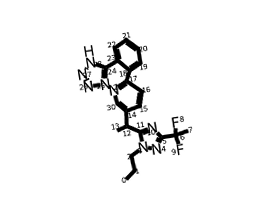 CCCn1nc(C(C)(F)F)nc1C(C)c1ccc(-c2ccccc2-c2nnn[nH]2)nc1